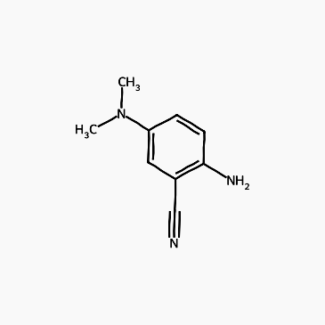 CN(C)c1ccc(N)c(C#N)c1